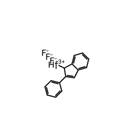 [F-].[F-].[F-].[Hf+3][CH]1C(c2ccccc2)=Cc2ccccc21